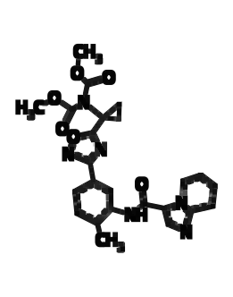 COC(=O)N(C(=O)OC)C1(c2nc(-c3ccc(C)c(NC(=O)c4cnc5ccccn45)c3)no2)CC1